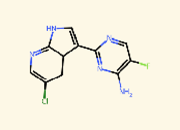 Nc1nc(C2=CNC3=NC=C(Cl)CC23)ncc1F